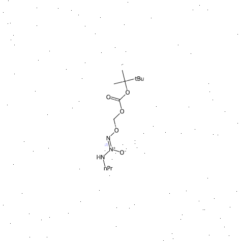 CCCN/[N+]([O-])=N/OCOC(=O)OC(C)(C)C(C)(C)C